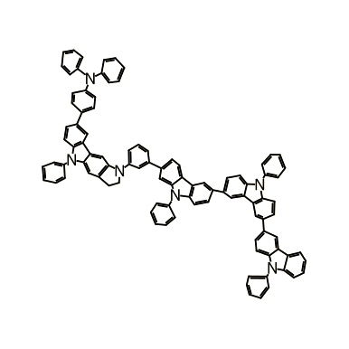 c1ccc(N(c2ccccc2)c2ccc(-c3ccc4c(c3)c3cc5c(cc3n4-c3ccccc3)CCN5c3cccc(-c4ccc5c6cc(-c7ccc8c(c7)c7cc(-c9ccc%10c(c9)c9ccccc9n%10-c9ccccc9)ccc7n8-c7ccccc7)ccc6n(-c6ccccc6)c5c4)c3)cc2)cc1